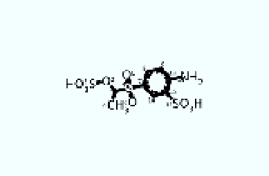 CC(OS(=O)(=O)O)S(=O)(=O)c1ccc(N)c(S(=O)(=O)O)c1